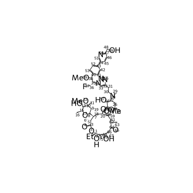 CC[C@H]1OC(=O)[C@H](C)[C@@H](C2C[C@@](C)(OC)[C@@H](O)[C@H](C)O2)[C@H](C)[C@@H](O[C@@H]2O[C@H](C)C[C@H](N(C)CCc3cn([C@H](CF)[C@H](OC)c4ccc(-c5ccc(CO)nc5)cc4)nn3)[C@H]2O)[C@](C)(OC)C[C@@H](C)C(=O)[C@H](C)[C@@H](O)[C@]1(C)O